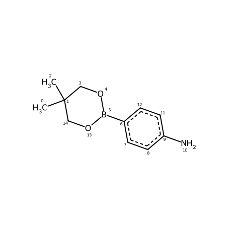 CC1(C)COB(c2ccc(N)cc2)OC1